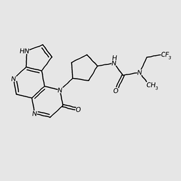 CN(CC(F)(F)F)C(=O)NC1CCC(n2c(=O)cnc3cnc4[nH]ccc4c32)C1